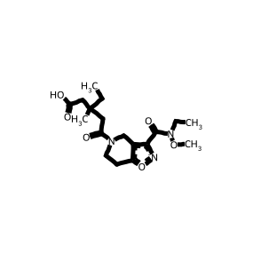 CCN(OC)C(=O)c1noc2c1CN(C(=O)CC(C)(CC)CC(=O)O)CC2